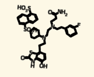 NC(=O)CCN(CCc1cccc(F)c1)CCN(CCc1ccc(O)c2[nH]c(=O)sc12)C1CCCCC1.O=S(=O)(O)c1cccc2c(S(=O)(=O)O)cccc12